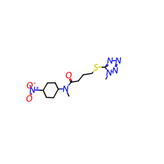 CN(C(=O)CCCSc1nnnn1C)C1CCC([N+](=O)[O-])CC1